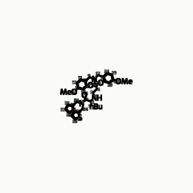 CCCC[C@H](NCCS(=O)(=O)N(Cc1ccc(OC)cc1)Cc1ccc(OC)cc1)C(=O)N(Cc1cccs1)Cc1cccs1